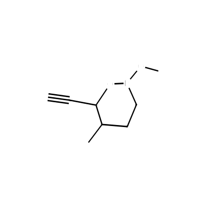 C#CC1OP(OC)CCC1C